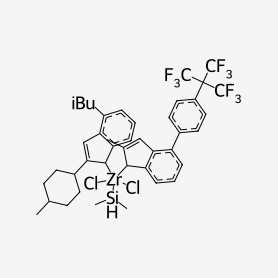 CCC(C)c1cccc2c1C=C(C1CCC(C)CC1)[CH]2[Zr]([Cl])([Cl])([CH]1C(C)=Cc2c(-c3ccc(C(C(F)(F)F)(C(F)(F)F)C(F)(F)F)cc3)cccc21)[SiH](C)C